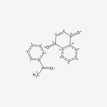 CC(=O)c1ccccc1.O=C1C=CC(=O)c2ccccc21